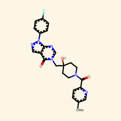 COc1ccc(C(=O)N2CCC(O)(Cn3cnc4c(cnn4-c4ccc(F)cc4)c3=O)CC2)nc1